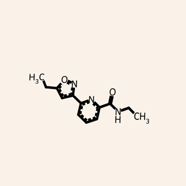 CCNC(=O)c1cccc(-c2cc(CC)on2)n1